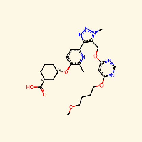 COCCCCOc1cc(OCc2c(-c3ccc(O[C@H]4CCC[C@H](C(=O)O)C4)c(C)n3)nnn2C)ncn1